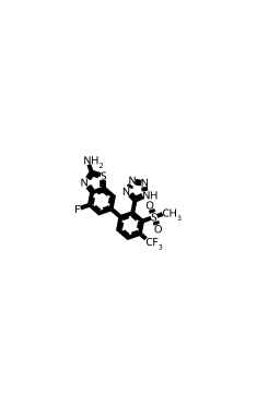 CS(=O)(=O)c1c(C(F)(F)F)ccc(-c2cc(F)c3nc(N)sc3c2)c1-c1nnn[nH]1